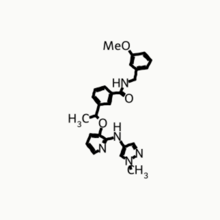 COc1cccc(CNC(=O)c2cccc(C(C)Oc3cccnc3Nc3cnn(C)c3)c2)c1